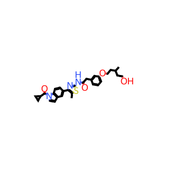 Cc1sc(NC(=O)Cc2cccc(OCCC(C)CCO)c2)nc1-c1ccc2c(ccn2C(=O)C2CC2)c1